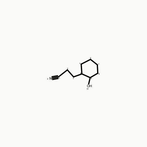 N#CCCC1CCCCC1O